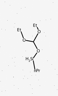 CCC[SiH2]OC(OCC)OCC